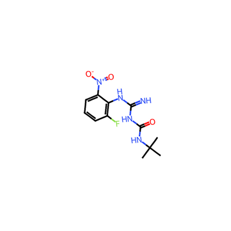 CC(C)(C)NC(=O)NC(=N)Nc1c(F)cccc1[N+](=O)[O-]